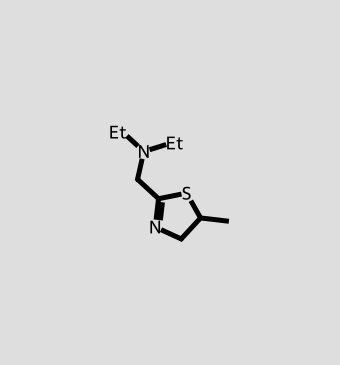 CCN(CC)CC1=NCC(C)S1